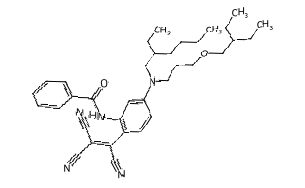 CCCCC(CC)CN(CCCOCC(CC)CC)c1ccc(C(C#N)=C(C#N)C#N)c(NC(=O)c2ccccc2)c1